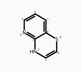 [C]1=CNc2ncccc2S1